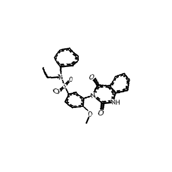 CCN(c1ccccc1)S(=O)(=O)c1ccc(OC)c(-n2c(=O)[nH]c3ccccc3c2=O)c1